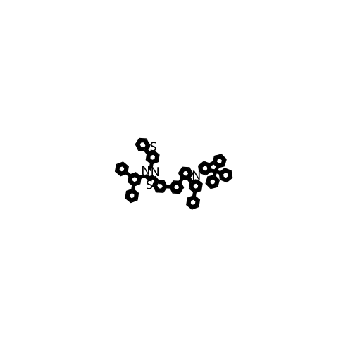 c1ccc(-c2cc(-c3ccccc3)cc(-c3nc(-c4ccc5sc6ccccc6c5c4)nc4c3sc3ccc(-c5cccc(-c6cccc7c6c6cc(-c8ccccc8)ccc6n7-c6ccc7c(c6)C(c6ccccc6)(c6ccccc6)c6ccccc6-7)c5)cc34)c2)cc1